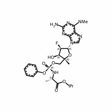 CNc1nc(N)nc2c1ncn2[C@@H]1O[C@](C)(CO[P@](=O)(N[C@@H](C)C(=O)OC(C)C)Oc2ccccc2)[C@@H](O)[C@H]1F